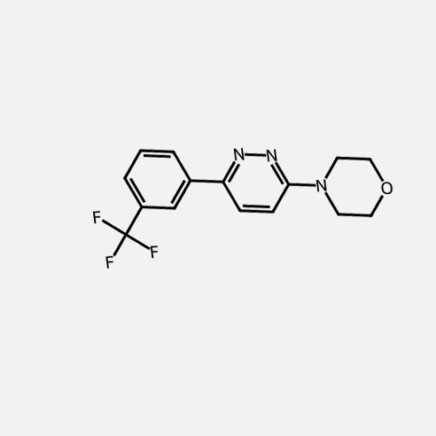 FC(F)(F)c1cccc(-c2ccc(N3CCOCC3)nn2)c1